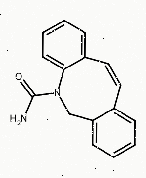 NC(=O)N1Cc2ccccc2/C=C\c2ccccc21